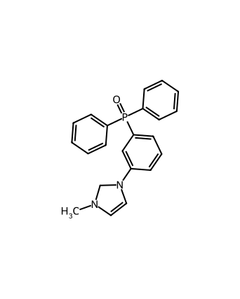 CN1C=CN(c2cccc(P(=O)(c3ccccc3)c3ccccc3)c2)C1